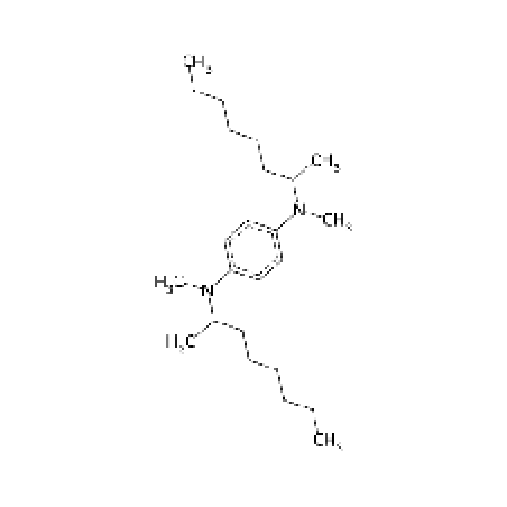 CCCCCCC(C)N(C)c1ccc(N(C)C(C)CCCCCC)cc1